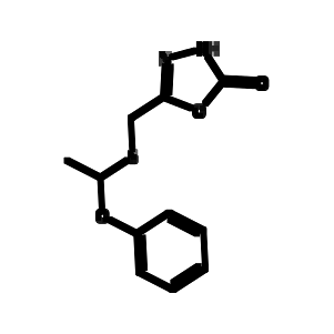 CC(Oc1ccccc1)SCc1n[nH]c(=O)o1